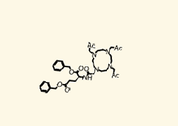 CC(=O)CN1CCN(CC(C)=O)CCN(CC(=O)N[C@@H](CCC(=O)OCc2ccccc2)C(=O)OCc2ccccc2)CCN(CC(C)=O)CC1